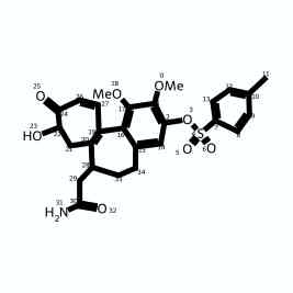 COc1c(OS(=O)(=O)c2ccc(C)cc2)cc2c(c1OC)C1=C(CC(O)C(=O)C=C1)C(CC(N)=O)CC2